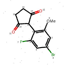 COc1cc(Br)cc(F)c1C1C(=O)CCC1=O